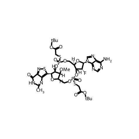 CO[C@H]1[C@H]2OP(=O)(SCC(=O)OC(C)(C)C)OC[C@H]3O[C@@H](n4cnc5c(N)ncnc54)[C@H](F)[C@@H]3OP(=O)(SCC(=O)OC(C)(C)C)OC[C@H]1O[C@H]2c1snc2c(=O)[nH]c(C)nc12